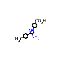 Cc1ccc(-c2nn(-c3ccc(C(=O)O)cc3)cc2N)cc1